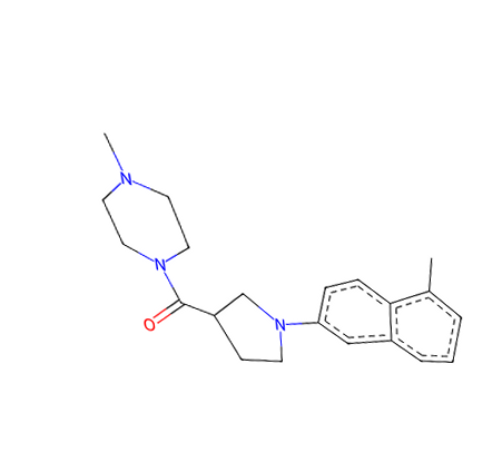 Cc1cccc2cc(N3CCC(C(=O)N4CCN(C)CC4)C3)ccc12